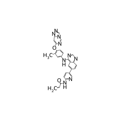 C=CC(=O)Nc1ccc(-c2ccc3ncnc(Nc4ccc(Oc5cc6nncn6cn5)c(C)c4)c3c2)cn1